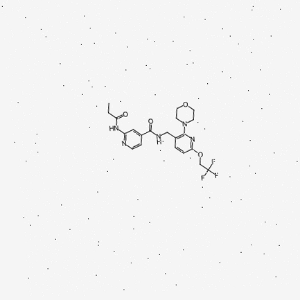 CCC(=O)Nc1cc(C(=O)NCc2ccc(OCC(F)(F)F)nc2N2CCOCC2)ccn1